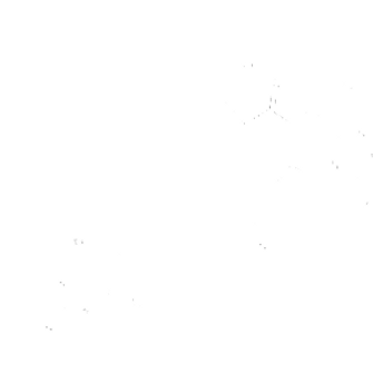 CC(C)c1cc(-c2nnc(O)n2-c2ccc3c(c2)CN(C(=O)c2ccc(C=Cc4c[nH]c5nc(N)[nH]c(=O)c45)cc2)C3)c(O)cc1O